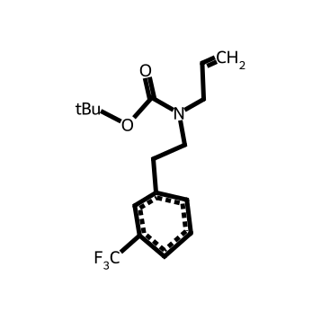 C=CCN(CCc1cccc(C(F)(F)F)c1)C(=O)OC(C)(C)C